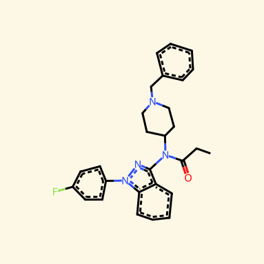 CCC(=O)N(c1nn(-c2ccc(F)cc2)c2ccccc12)C1CCN(Cc2ccccc2)CC1